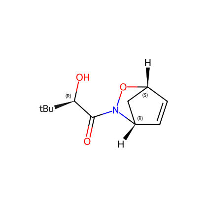 CC(C)(C)[C@@H](O)C(=O)N1O[C@@H]2C=C[C@H]1C2